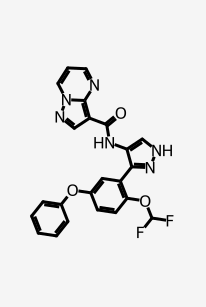 O=C(Nc1c[nH]nc1-c1cc(Oc2ccccc2)ccc1OC(F)F)c1cnn2cccnc12